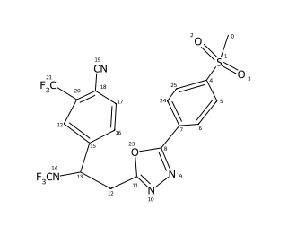 CS(=O)(=O)c1ccc(-c2nnc(CC(NC(F)(F)F)c3ccc(C#N)c(C(F)(F)F)c3)o2)cc1